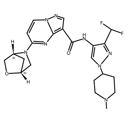 CN1CCC(n2cc(NC(=O)c3cnn4ccc(N5C[C@H]6C[C@@H]5CO6)nc34)c(C(F)F)n2)CC1